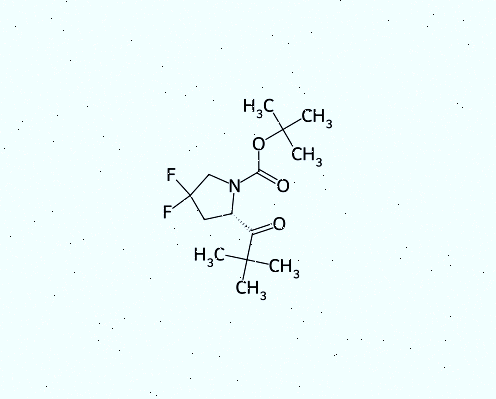 CC(C)(C)OC(=O)N1CC(F)(F)C[C@H]1C(=O)C(C)(C)C